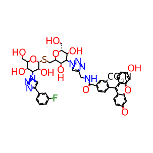 O=C(NCc1cn(C2C(O)[C@@H](CO)OC(CS[C@@H]3OC(CO)[C@H](O)C(n4cc(-c5cccc(F)c5)nn4)C3O)[C@@H]2O)nn1)c1ccc(-c2c3ccc(=O)cc-3oc3cc(O)ccc23)c(C(=O)O)c1